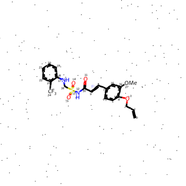 C=CCOc1ccc(/C=C/C(=O)NS(=O)(=O)CNc2ccccc2C(F)(F)F)cc1OC